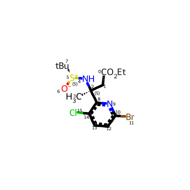 CCOC(=O)C[C@](C)(N[S@+]([O-])C(C)(C)C)c1nc(Br)ccc1Cl